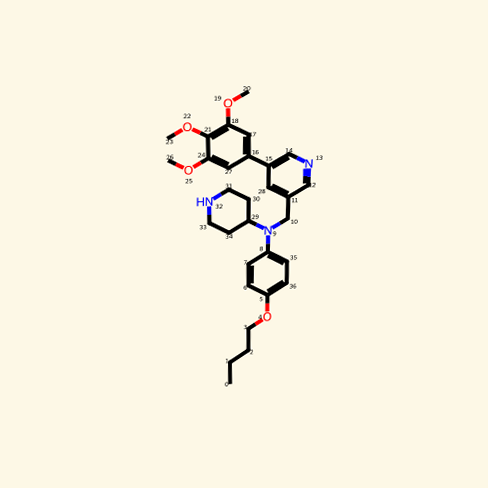 CCCCOc1ccc(N(Cc2cncc(-c3cc(OC)c(OC)c(OC)c3)c2)C2CCNCC2)cc1